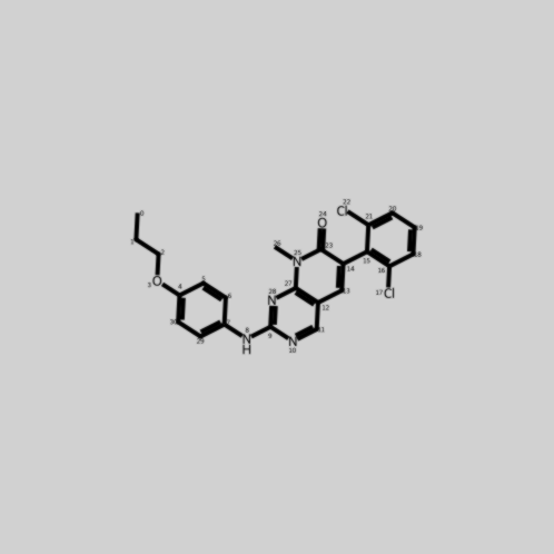 CCCOc1ccc(Nc2ncc3cc(-c4c(Cl)cccc4Cl)c(=O)n(C)c3n2)cc1